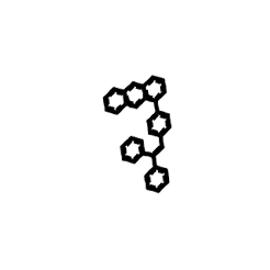 C(=C(c1ccccc1)c1ccccc1)c1ccc(-c2cccc3cc4ccccc4cc23)cc1